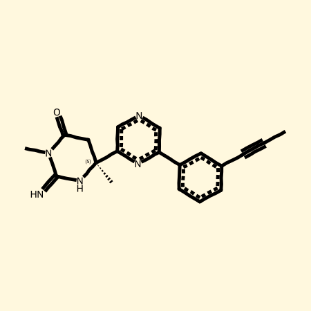 CC#Cc1cccc(-c2cncc([C@]3(C)CC(=O)N(C)C(=N)N3)n2)c1